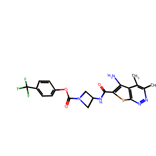 Cc1nnc2sc(C(=O)NC3CN(C(=O)Oc4ccc(C(F)(F)F)cc4)C3)c(N)c2c1C